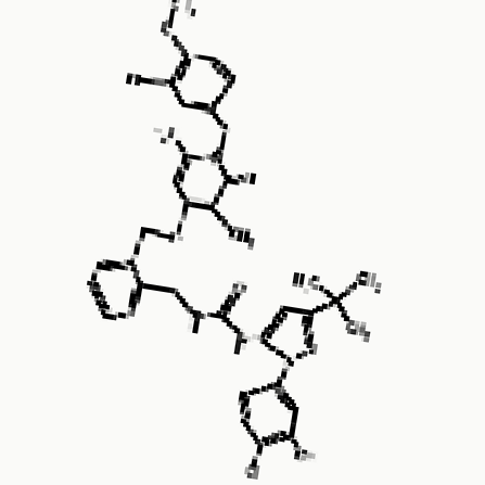 COc1ccc(Cn2c(C)cc(OCc3ccccc3CNC(=O)Nc3cc(C(C)(C)C)nn3-c3ccc(Cl)c(O)c3)c(C)c2=O)cc1Cl